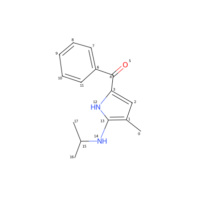 Cc1cc(C(=O)c2ccccc2)[nH]c1NC(C)C